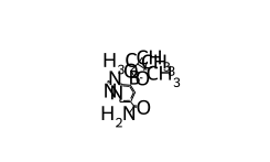 CC1(C)OB(c2cc(C(N)=O)cn3ncnc23)OC1(C)C